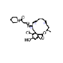 Cc1cc(O)c(Cl)c2c1C(=O)O[C@H](C)C/C=C/CC/C=C/C(=N\OCC(=O)N1CCCCC1)C2